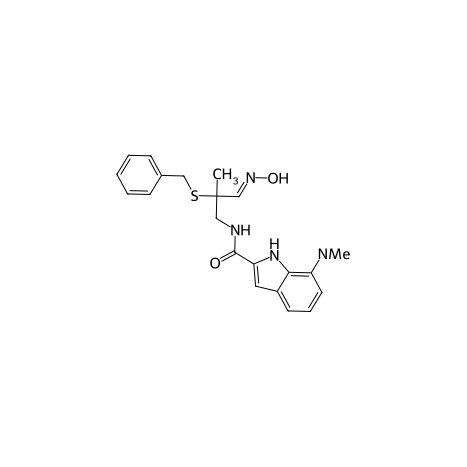 CNc1cccc2cc(C(=O)NCC(C)(/C=N/O)SCc3ccccc3)[nH]c12